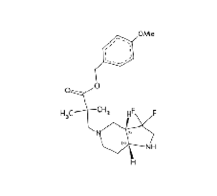 COc1ccc(COC(=O)C(C)(C)CN2CC[C@H]3NCC(F)(F)[C@H]3C2)cc1